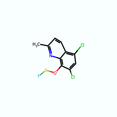 Cc1ccc2c(Cl)cc(Cl)c(OSF)c2n1